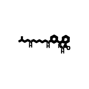 CC(C)CCNCCCCCNc1cccc(-c2n[nH]c(=O)c3ccccc23)c1